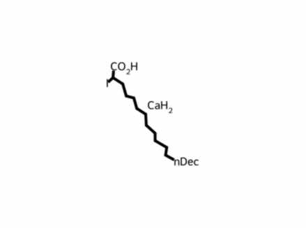 CCCCCCCCCCCCCCCCCCCCC(I)C(=O)O.[CaH2]